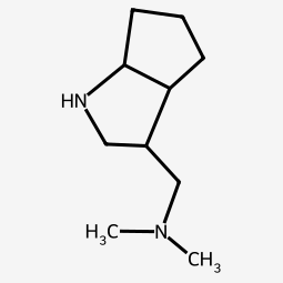 CN(C)CC1CNC2CCCC12